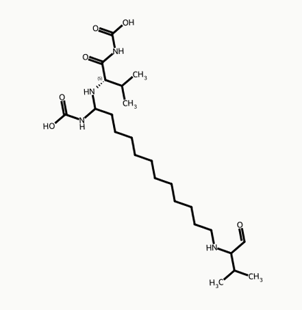 CC(C)C(C=O)NCCCCCCCCCCCC(NC(=O)O)N[C@H](C(=O)NC(=O)O)C(C)C